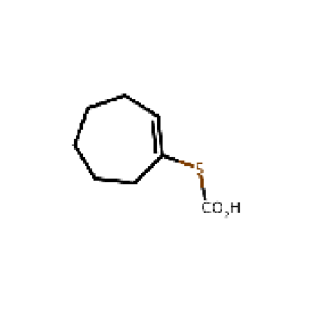 O=C(O)SC1=CCCCCC1